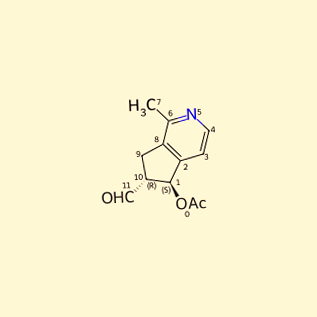 CC(=O)O[C@@H]1c2ccnc(C)c2C[C@H]1C=O